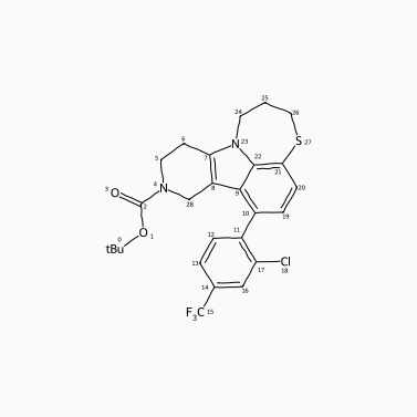 CC(C)(C)OC(=O)N1CCc2c(c3c(-c4ccc(C(F)(F)F)cc4Cl)ccc4c3n2CCCS4)C1